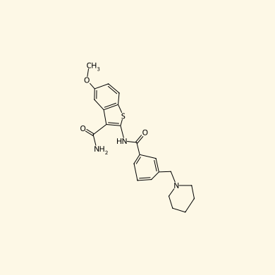 COc1ccc2sc(NC(=O)c3cccc(CN4CCCCC4)c3)c(C(N)=O)c2c1